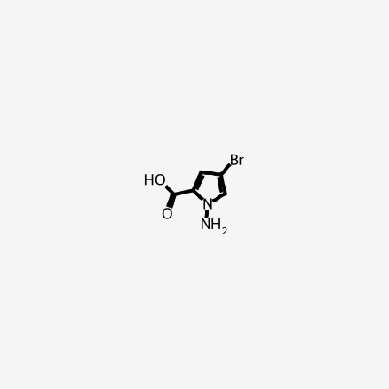 Nn1cc(Br)cc1C(=O)O